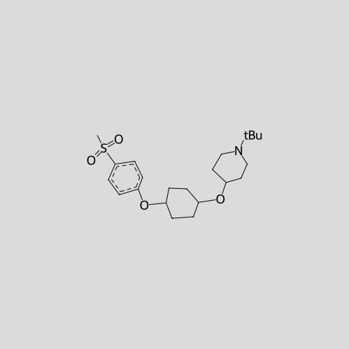 CC(C)(C)N1CCC(OC2CCC(Oc3ccc(S(C)(=O)=O)cc3)CC2)CC1